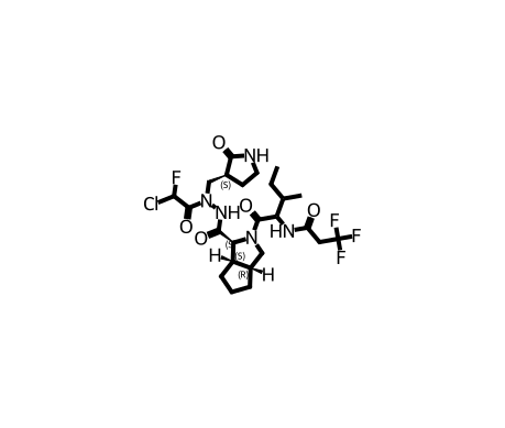 CCC(C)C(NC(=O)CC(F)(F)F)C(=O)N1C[C@@H]2CCC[C@@H]2[C@H]1C(=O)NN(C[C@@H]1CCNC1=O)C(=O)C(F)Cl